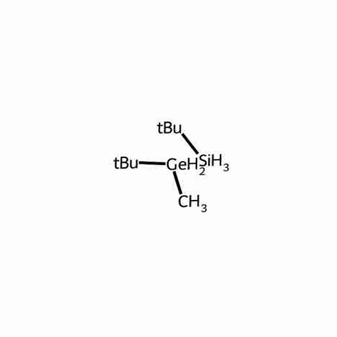 CC(C)(C)[SiH3].[CH3][GeH2][C](C)(C)C